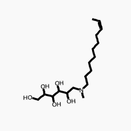 C/C=C\CCCCCCCCN(C)CC(O)C(O)C(O)C(O)CO